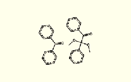 COC(OC)(C(=O)c1ccccc1)c1ccccc1.O=C(c1ccccc1)c1ccccc1